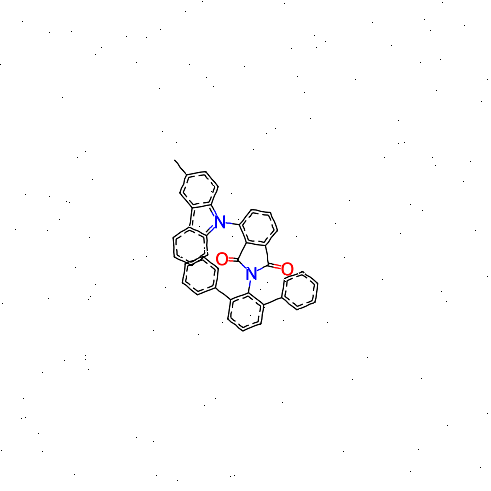 Cc1ccc2c(c1)c1ccccc1n2-c1cccc2c1C(=O)N(c1c(-c3ccccc3)cccc1-c1ccccc1)C2=O